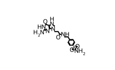 Nc1nc2c(c(=O)[nH]1)NCN2CCC(=O)NCCc1ccc(S(N)(=O)=O)cc1